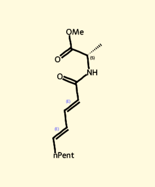 CCCCC/C=C/C=C/C(=O)N[C@@H](C)C(=O)OC